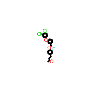 CC(=O)CCc1ccc(OCc2cccc(Oc3ccc(Cl)c(Cl)c3)c2)c(F)c1